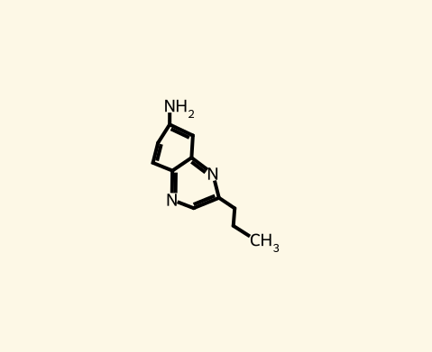 CCCc1cnc2ccc(N)cc2n1